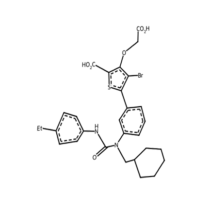 CCc1ccc(NC(=O)N(CC2CCCCC2)c2cccc(-c3sc(C(=O)O)c(OCC(=O)O)c3Br)c2)cc1